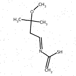 C=C(S)/N=C/CC(C)(C)OC